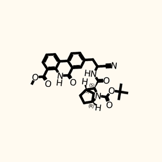 COC(=O)c1cccc2c1[nH]c(=O)c1cc(CC(C#N)NC(=O)[C@@H]3[C@H]4CC[C@H](C4)N3C(=O)OC(C)(C)C)ccc12